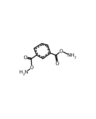 NOC(=O)c1cccc(C(=O)ON)c1